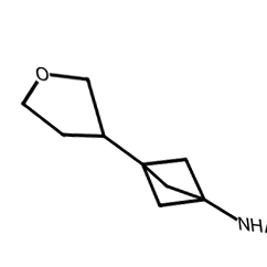 CC(=O)NC12CC(C3CCOC3)(C1)C2